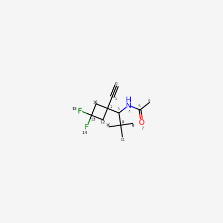 C#CC1(C(NC(C)=O)C(C)(C)C)CC(F)(F)C1